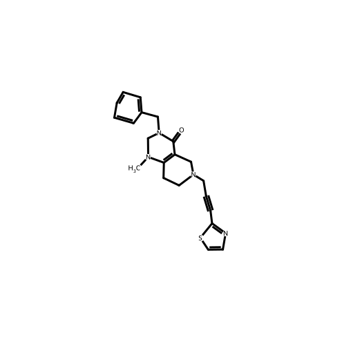 CN1CN(Cc2ccccc2)C(=O)C2=C1CCN(CC#Cc1nccs1)C2